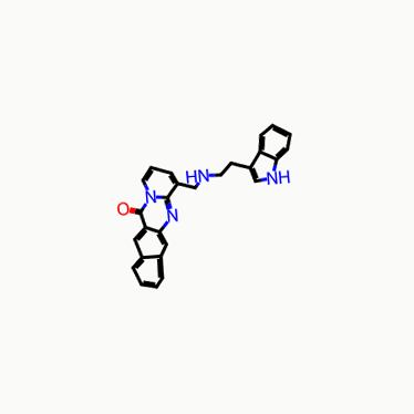 O=c1c2cc3ccccc3cc2nc2c(CNCCc3c[nH]c4ccccc34)cccn12